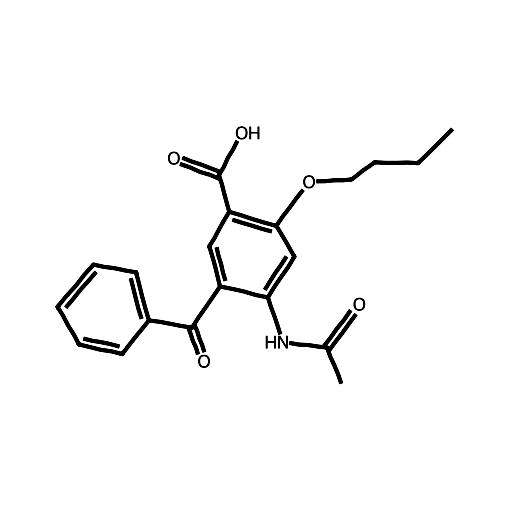 CCCCOc1cc(NC(C)=O)c(C(=O)c2ccccc2)cc1C(=O)O